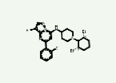 CC[C@@H]1CCC[C@H](CC)C1N1CCC(Nc2cc(-c3ccccc3Cl)nc3c(Br)cnn23)CC1